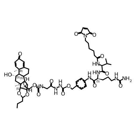 CCCC1O[C@@H]2CC3[C@@H]4CCC5=CC(=O)C=C[C@]5(C)C4[C@@H](O)C[C@]3(C)[C@]2(C(=O)COC(=O)NCC(=O)NNC(=O)OCc2ccc(NC(=O)[C@H](CCCNC(N)=O)NC(=O)C(NC(=O)CCCCCN3C(=O)C=CC3=O)C(C)C)cc2)O1